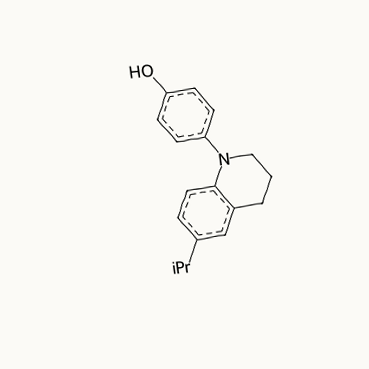 CC(C)c1ccc2c(c1)CCCN2c1ccc(O)cc1